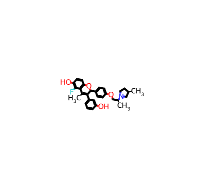 CC1=C(c2cccc(O)c2)C(c2ccc(OC[C@H](C)N3CC[C@@H](C)C3)cc2)Oc2ccc(O)c(F)c21